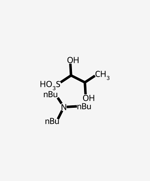 CC(O)C(O)S(=O)(=O)O.CCCCN(CCCC)CCCC